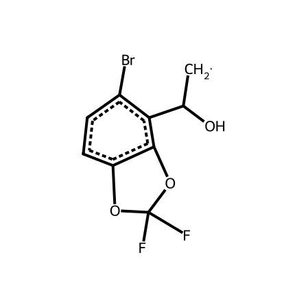 [CH2]C(O)c1c(Br)ccc2c1OC(F)(F)O2